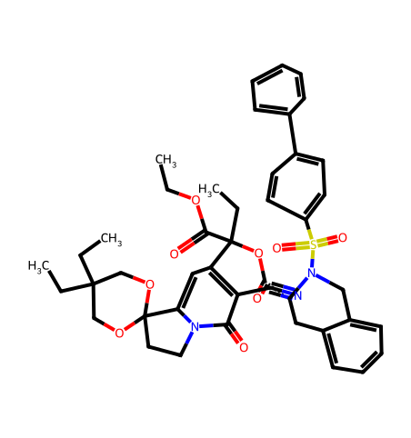 CCOC(=O)C(CC)(OC(=O)[C@H]1Cc2ccccc2CN1S(=O)(=O)c1ccc(-c2ccccc2)cc1)c1cc2n(c(=O)c1C#N)CCC21OCC(CC)(CC)CO1